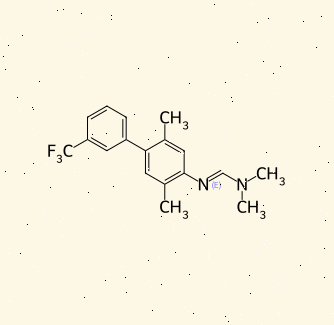 Cc1cc(-c2cccc(C(F)(F)F)c2)c(C)cc1/N=C/N(C)C